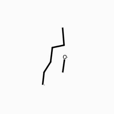 C[O].[CH2]CCCCC